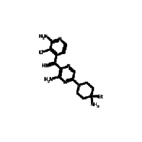 CCC1(N)CCN(c2cnc(C(=N)c3ccnc(N)c3Cl)c(N)n2)CC1